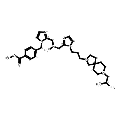 COC(=O)c1ccc(Cn2ccnc2CN(C)Cc2nccn2CCCN2CCC3(CCN(CC(C)C)CC3)C2)cc1